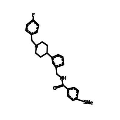 CSc1ccc(C(=O)NCc2cccc(C3CCN(Cc4ccc(F)cc4)CC3)c2)cc1